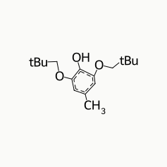 Cc1cc(OCC(C)(C)C)c(O)c(OCC(C)(C)C)c1